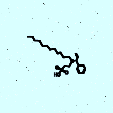 C=CC(c1ccccc1)N(CCCCCCCCCCCC)CCS(=O)(=O)O